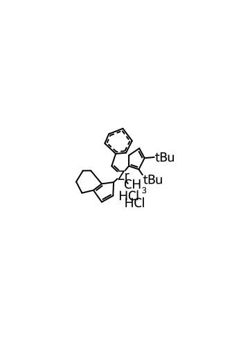 CC(C)(C)C1=CC[C]([Zr]([CH3])(=[CH]c2ccccc2)[CH]2C=CC3=C2CCCC3)=C1C(C)(C)C.Cl.Cl